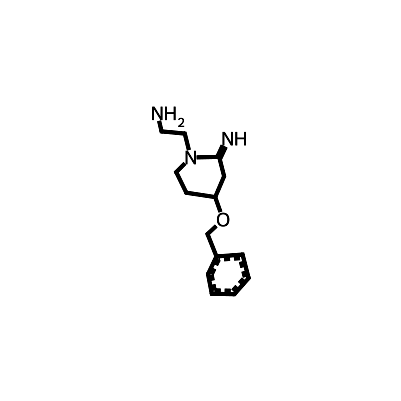 N=C1CC(OCc2ccccc2)CCN1CCN